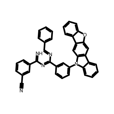 N#Cc1cccc(C(=N)/N=C(\N=C\c2ccccc2)c2cccc(-n3c4ccccc4c4cc5oc6ccccc6c5cc43)c2)c1